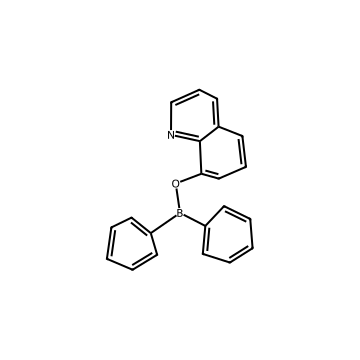 c1ccc(B(Oc2cccc3cccnc23)c2ccccc2)cc1